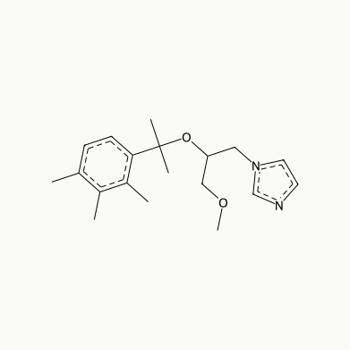 COCC(Cn1ccnc1)OC(C)(C)c1ccc(C)c(C)c1C